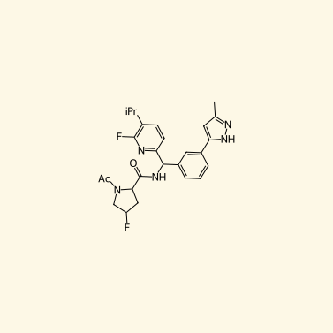 CC(=O)N1CC(F)CC1C(=O)NC(c1cccc(-c2cc(C)n[nH]2)c1)c1ccc(C(C)C)c(F)n1